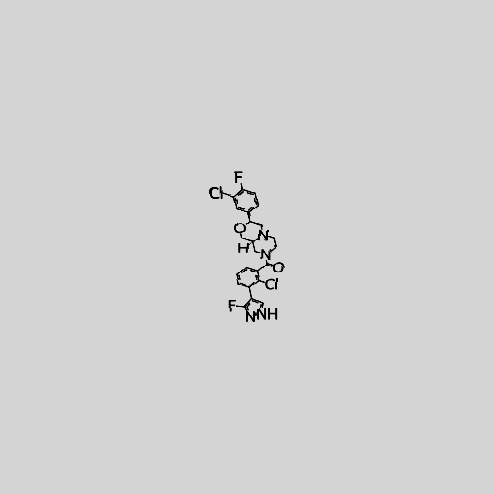 O=C(c1cccc(-c2c[nH]nc2F)c1Cl)N1CCN2C[C@H](c3ccc(F)c(Cl)c3)OC[C@@H]2C1